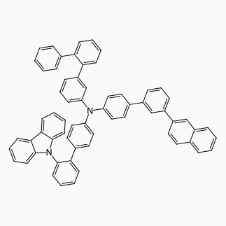 c1ccc(-c2ccccc2-c2cccc(N(c3ccc(-c4cccc(-c5ccc6ccccc6c5)c4)cc3)c3ccc(-c4ccccc4-n4c5ccccc5c5ccccc54)cc3)c2)cc1